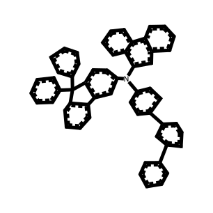 c1ccc(-c2cccc(-c3ccc(N(c4ccc5c(c4)-c4ccccc4C5(c4ccccc4)c4ccccc4)c4cc5ccccc5c5ccccc45)cc3)c2)cc1